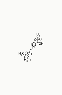 CC(C)(C)OC(=O)CCn1cc(C(O)S(C)(=O)=O)cn1